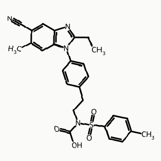 CCc1nc2cc(C#N)c(C)cc2n1-c1ccc(CCN(C(=O)O)S(=O)(=O)c2ccc(C)cc2)cc1